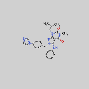 CC(C)Cn1c(=O)n(C)c(=O)c2c(Nc3ccccc3)n(Cc3ccc(-n4ccnc4)cc3)nc21